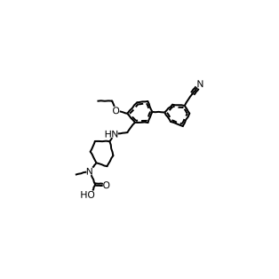 CCOc1ccc(-c2cccc(C#N)c2)cc1CNC1CCC(N(C)C(=O)O)CC1